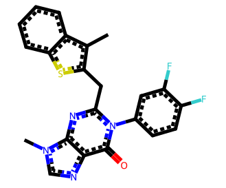 Cc1c(Cc2nc3c(ncn3C)c(=O)n2-c2ccc(F)c(F)c2)sc2ccccc12